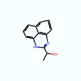 CC(O)C1=Nc2cccc3cccc(c23)N1